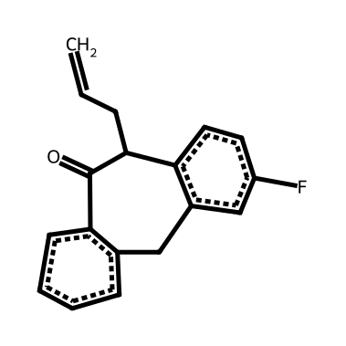 C=CCC1C(=O)c2ccccc2Cc2cc(F)ccc21